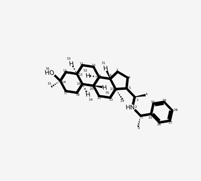 C[C@H](N[C@H](C)C1CC[C@H]2[C@@H]3CC[C@@H]4C[C@](C)(O)CC[C@@H]4[C@H]3CC[C@]12C)c1ccccc1